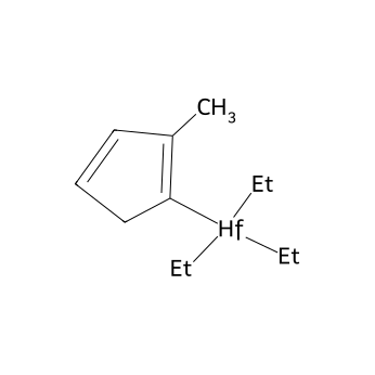 C[CH2][Hf]([CH2]C)([CH2]C)[C]1=C(C)C=CC1